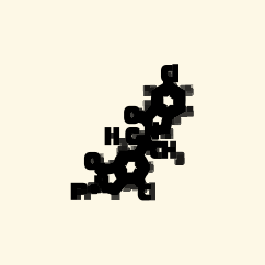 CC(C)N1Cc2c(Cl)cc(C(C)(C)N3Cc4ccc(Cl)cc4C3=O)cc2C1=O